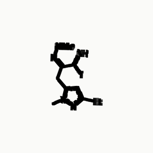 CCc1cc(C/C(=N/NC)C(=N)I)n(C)n1